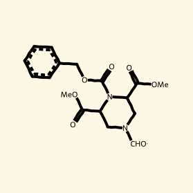 COC(=O)C1CN([C]=O)CC(C(=O)OC)N1C(=O)OCc1ccccc1